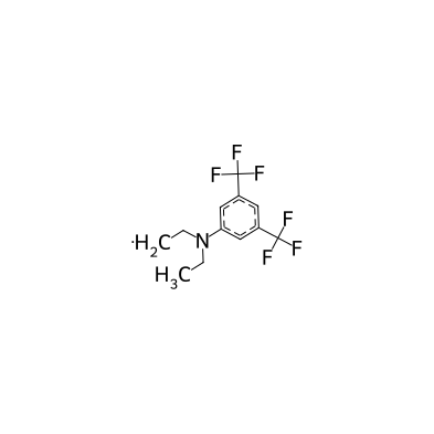 [CH2]CN(CC)c1cc(C(F)(F)F)cc(C(F)(F)F)c1